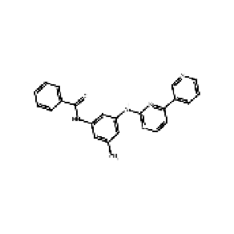 Cc1cc(NC(=O)c2ccccc2)cc(Nc2nccc(-c3cccnc3)n2)c1